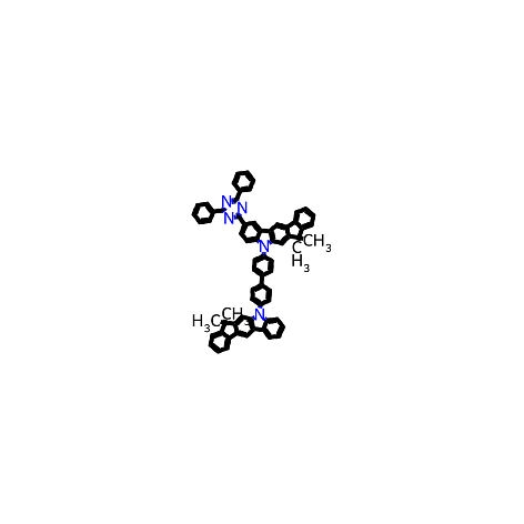 CC1(C)c2ccccc2-c2cc3c4ccccc4n(-c4ccc(-c5ccc(-n6c7ccc(-c8nc(-c9ccccc9)nc(-c9ccccc9)n8)cc7c7cc8c(cc76)C(C)(C)c6ccccc6-8)cc5)cc4)c3cc21